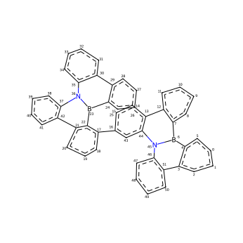 c1ccc2c(c1)B1c3ccccc3-c3ccc(-c4cccc5c4B4c6ccccc6-c6ccccc6N4c4ccccc4-5)cc3N1c1ccccc1-2